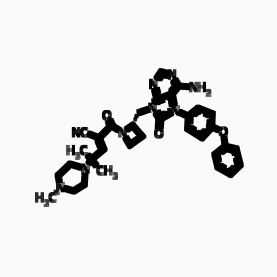 CN1CCN(C(C)(C)C=C(C#N)C(=O)N2CC[C@H]2Cn2c(=O)n(-c3ccc(Oc4ccccc4)cc3)c3c(N)ncnc32)CC1